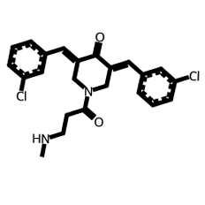 CNCCC(=O)N1C/C(=C\c2cccc(Cl)c2)C(=O)/C(=C/c2cccc(Cl)c2)C1